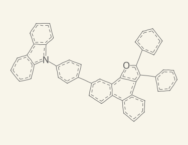 c1ccc(-c2oc3c4cc(-c5ccc(-n6c7ccccc7c7ccccc76)cc5)ccc4c4ccccc4c3c2-c2ccccc2)cc1